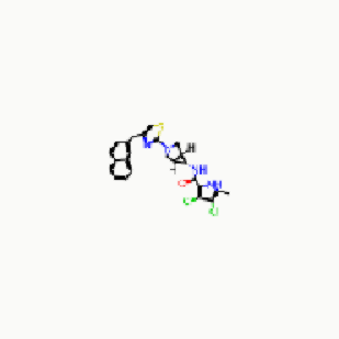 Cc1[nH]c(C(=O)N[C@@H]2[C@@H]3CN(c4nc(Cc5ccc6ccccc6c5)cs4)C[C@@H]32)c(Cl)c1Cl